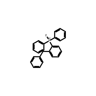 F[PH](c1ccccc1)(c1ccccc1)c1ccccc1Cc1ccccc1